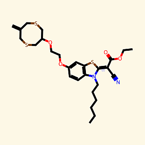 C=C1CSCC(OCCOc2ccc3c(c2)S/C(=C(/C#N)C(=O)OCC)N3CCCCCC)CSC1